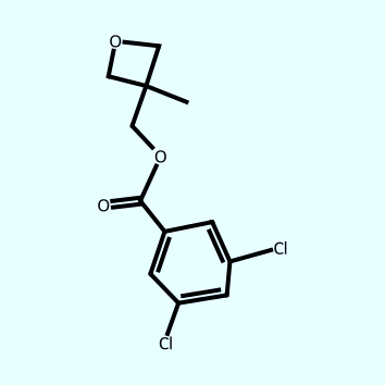 CC1(COC(=O)c2cc(Cl)cc(Cl)c2)COC1